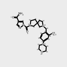 NC(=O)c1cnn(C(=O)N2CCC3(CCN(Cc4ccc(N5CCOCC5)cc4C(F)(F)F)C3)C2)c1